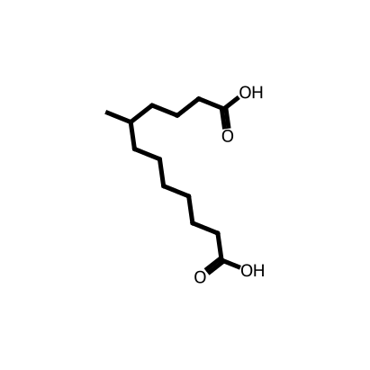 CC(CCCCCCC(=O)O)CCCC(=O)O